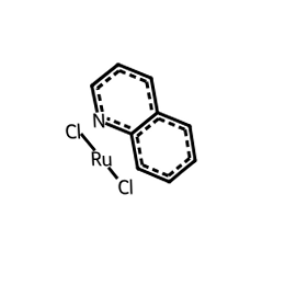 [Cl][Ru][Cl].c1ccc2ncccc2c1